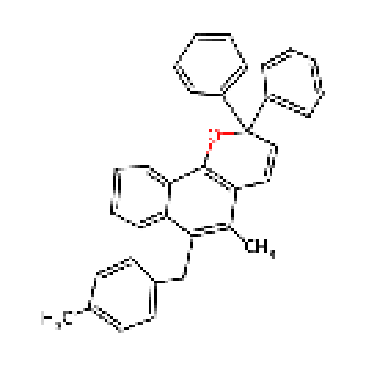 Cc1ccc(Cc2c(C)c3c(c4ccccc24)OC(c2ccccc2)(c2ccccc2)C=C3)cc1